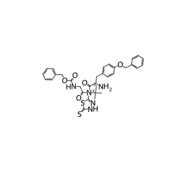 CC(C)(C)[N+](C(=O)CNC(=O)OCc1ccccc1)(C(=O)[C@@H](N)Cc1ccc(OCc2ccccc2)cc1)c1n[nH]c(=S)s1